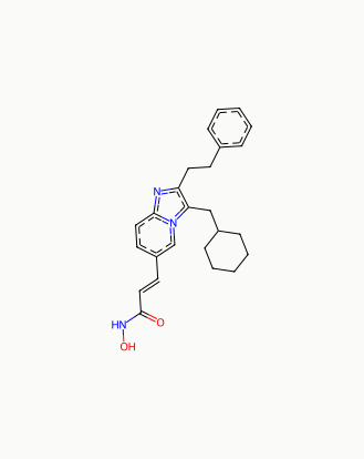 O=C(/C=C/c1ccc2nc(CCc3ccccc3)c(CC3CCCCC3)n2c1)NO